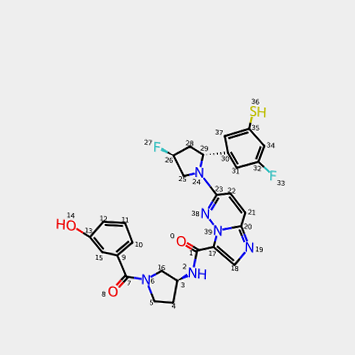 O=C(N[C@H]1CCN(C(=O)c2cccc(O)c2)C1)c1cnc2ccc(N3C[C@@H](F)C[C@@H]3c3cc(F)cc(S)c3)nn12